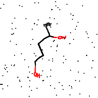 [CH2]CCC(O)CCCO